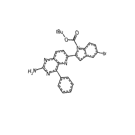 CC(C)(C)OC(=O)n1c(-c2ccc3nc(N)nc(-c4ccccc4)c3n2)cc2cc(Br)ccc21